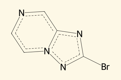 Brc1nc2cnccn2n1